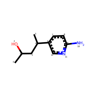 CC(O)CC(C)c1ccc(N)nc1